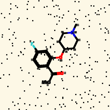 COC(=O)c1ccc(F)cc1OC1CCN(C)CC1